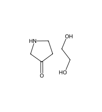 O=C1CCNC1.OCCO